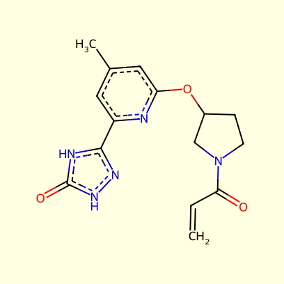 C=CC(=O)N1CCC(Oc2cc(C)cc(-c3n[nH]c(=O)[nH]3)n2)C1